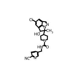 CC1(C2CCN(C(=O)NCc3ccc(C#N)nc3)CC2)[C@H](O)c2cc(Cl)cc3cnn1c23